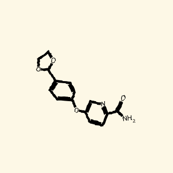 NC(=O)c1ccc(Oc2ccc(C3OCCO3)cc2)cn1